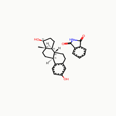 C[C@]12CC[C@@H]3c4ccc(O)cc4CC[C@H]3[C@@H]1CC[C@@H]2O.O=C1NC(=O)c2ccccc21